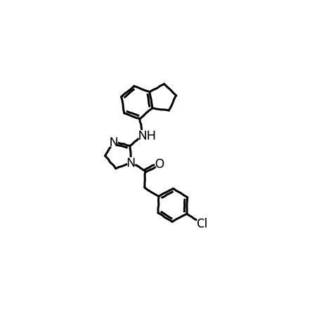 O=C(Cc1ccc(Cl)cc1)N1CCN=C1Nc1cccc2c1CCC2